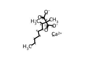 CCCCCCC(C)C(C)(C(=O)[O-])C(=O)[O-].[Ca+2]